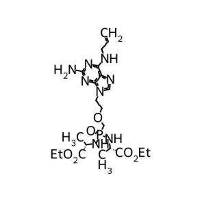 C=CCNc1nc(N)nc2c1ncn2CCOCP(=O)(N[C@@H](C)C(=O)OCC)N[C@@H](C)C(=O)OCC